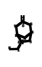 CCN1CC2CNCC1C2